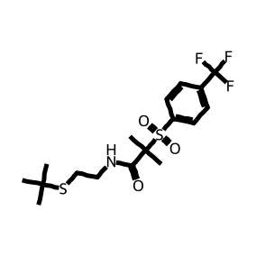 CC(C)(C)SCCNC(=O)C(C)(C)S(=O)(=O)c1ccc(C(F)(F)F)cc1